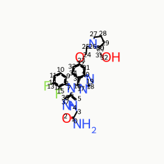 NC(=O)Cn1cc(N(c2cccc(F)c2F)c2ncnc3cc(OCCN4CCC[C@@H]4CO)ccc23)cn1